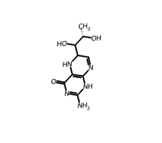 C[C@H](O)C(O)C1C=Nc2[nH]c(N)nc(=O)c2N1